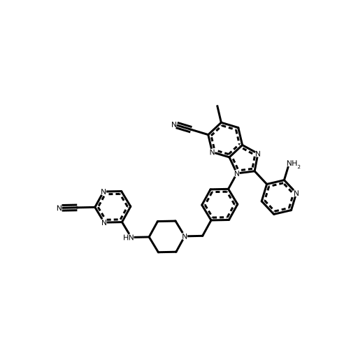 Cc1cc2nc(-c3cccnc3N)n(-c3ccc(CN4CCC(Nc5ccnc(C#N)n5)CC4)cc3)c2nc1C#N